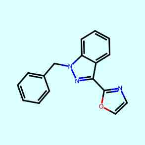 c1ccc(Cn2nc(-c3ncco3)c3ccccc32)cc1